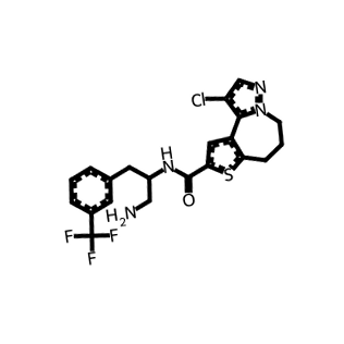 NCC(Cc1cccc(C(F)(F)F)c1)NC(=O)c1cc2c(s1)CCCn1ncc(Cl)c1-2